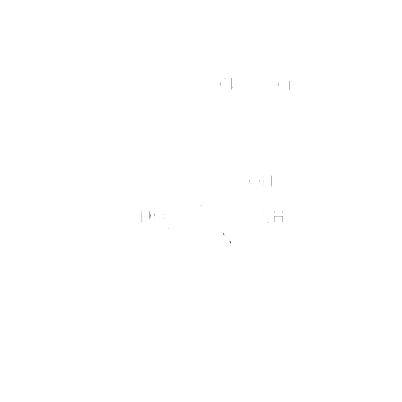 CC1C2C(O)(c3ccc(Cl)c(Cl)c3)CCC(c3ccccc3)C2(C(=O)O)CN1Cc1ccccc1